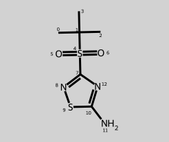 CC(C)(C)S(=O)(=O)c1nsc(N)n1